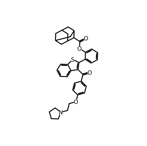 O=C(c1ccc(OCCN2CCCC2)cc1)c1c(-c2ccccc2OC(=O)C2C3CC4CC(C3)CC2C4)sc2ccccc12